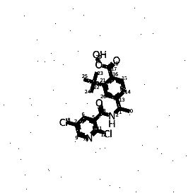 CC(NC(=O)c1cc(Cl)cnc1Cl)c1ccc(C(=O)OO)c(C(C)(C)C)c1